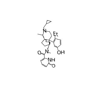 CCc1ccc(O)cc1C12CCN(CC3CC3)C(C)C13CCC(N(C)C(=O)c1cccc(=O)[nH]1)C2CC3